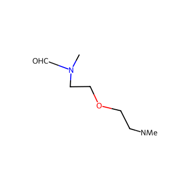 CNCCOCCN(C)C=O